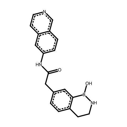 O=C(Cc1ccc2c(c1)B(O)NCC2)Nc1ccc2cnccc2c1